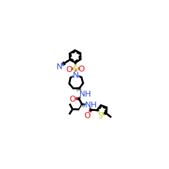 Cc1ccc(C(=O)N[C@@H](CC(C)C)C(=O)N[C@@H]2CCCN(S(=O)(=O)c3ccccc3C#N)CC2)s1